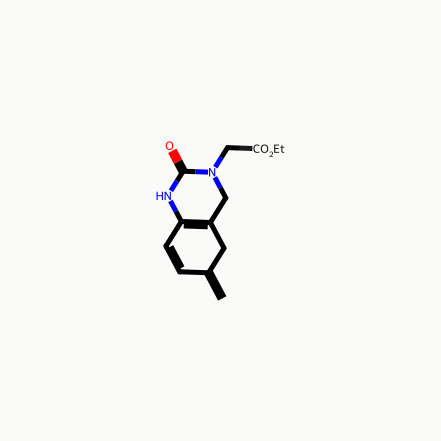 C=C1C=CC2=C(C1)CN(CC(=O)OCC)C(=O)N2